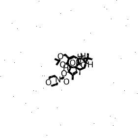 CC1=C[C@]23C(=O)[C@@H](C=C4COC(C)(C)O[C@H]4[C@]2(O)[C@H]1OC(=O)N1CCOCC1)[C@H]1[C@@H](C[C@H]3C)C1(C)C